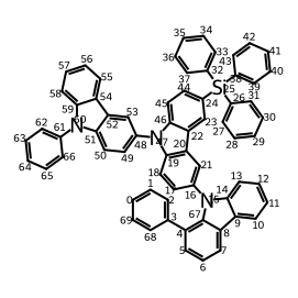 c1ccc(-c2cccc3c4ccccc4n(-c4ccc5c(c4)c4cc([Si](c6ccccc6)(c6ccccc6)c6ccccc6)ccc4n5-c4ccc5c(c4)c4ccccc4n5-c4ccccc4)c23)cc1